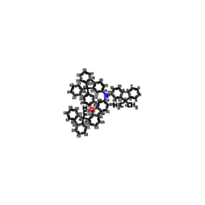 CC1(C)c2ccccc2-c2ccc(N(c3ccc4c(c3)C(c3ccccc3)(c3ccccc3)c3ccccc3-4)c3ccc4c(c3)oc3c(C5(C)c6ccccc6-c6ccccc65)cccc34)cc21